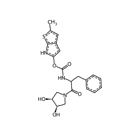 Cc1cc2cc(OC(=O)NC(Cc3ccccc3)C(=O)N3C[C@@H](O)[C@@H](O)C3)[nH]c2s1